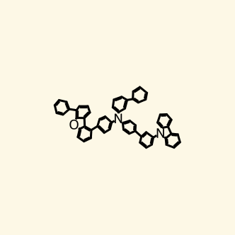 c1ccc(-c2cccc(N(c3ccc(-c4cccc(-n5c6ccccc6c6ccccc65)c4)cc3)c3ccc(-c4cccc5oc6c(-c7ccccc7)cccc6c45)cc3)c2)cc1